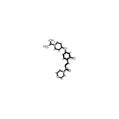 CC(C)N1CCC(Oc2ccc(C=CC(=O)N3CCOCC3)c(Cl)c2)CC1